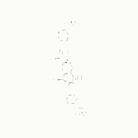 COC(=O)c1ccc(C(C)n2c(=O)[nH]c3cnc(C(=O)NCc4ccc(OC)cc4)cc3c2=O)cc1